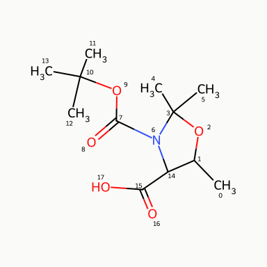 CC1OC(C)(C)N(C(=O)OC(C)(C)C)C1C(=O)O